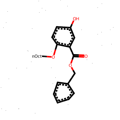 CCCCCCCCOc1ccc(O)cc1C(=O)OCc1ccccc1